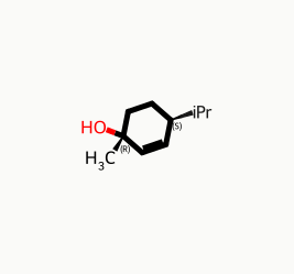 CC(C)[C@H]1C=C[C@](C)(O)CC1